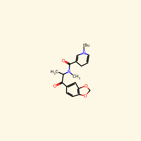 CC(C(=O)c1ccc2c(c1)OCO2)N(C)C(=O)C1=CN(C(C)(C)C)C=CC1